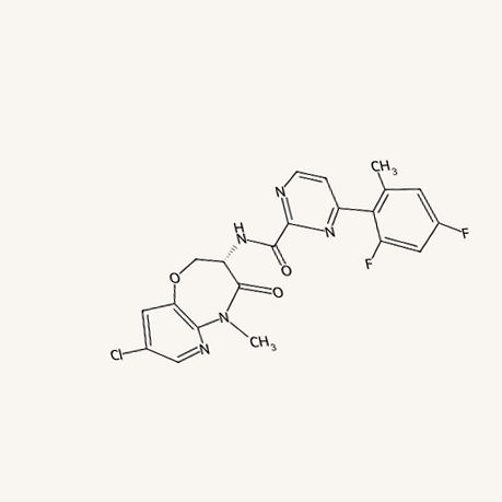 Cc1cc(F)cc(F)c1-c1ccnc(C(=O)N[C@H]2COc3cc(Cl)cnc3N(C)C2=O)n1